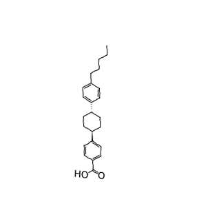 CCCCCc1ccc([C@H]2CC[C@H](c3ccc(C(=O)O)cc3)CC2)cc1